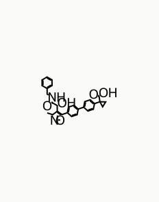 Cc1noc(-c2ccc(-c3ccc(C4(C(=O)O)CC4)cc3)cc2)c1C(O)C(=O)NCc1ccccc1